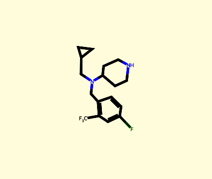 Fc1ccc(CN(CC2CC2)C2CCNCC2)c(C(F)(F)F)c1